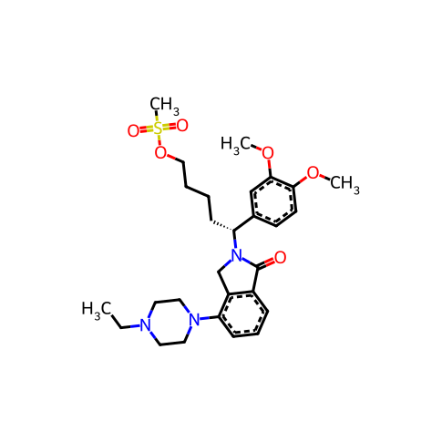 CCN1CCN(c2cccc3c2CN([C@H](CCCCOS(C)(=O)=O)c2ccc(OC)c(OC)c2)C3=O)CC1